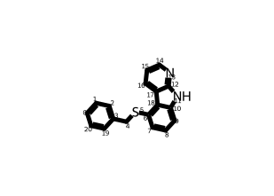 c1ccc(CSc2cccc3[nH]c4ncccc4c23)cc1